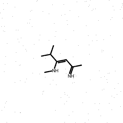 CN/C(=C\C(C)=N)C(C)C